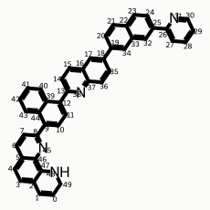 C1=Cc2ccc3ccc(-c4ccc(-c5ccc6cc(-c7ccc8ccc(-c9ccccn9)cc8c7)ccc6n5)c5ccccc45)nc3c2NC1